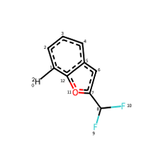 [2H]c1cccc2cc(C(F)F)oc12